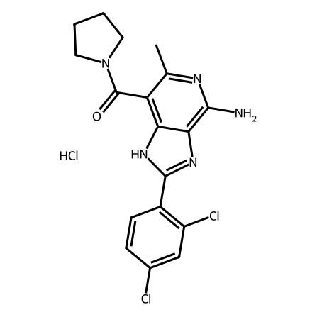 Cc1nc(N)c2nc(-c3ccc(Cl)cc3Cl)[nH]c2c1C(=O)N1CCCC1.Cl